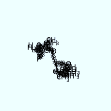 CC1CN(C(=O)CCCCCCCCCCCCC(=O)N2CCN(C[C@H]3CN[C@H](C)CN3CC(=O)N3CC(C)(C)c4[nH]c(=O)c(Cc5ccc(F)cc5)cc43)C(C)C2)CCN1C[C@H]1CN[C@H](C)CN1CC(=O)N1CC(C)(C)c2[nH]c(=O)c(Cc3ccc(F)cc3)cc21